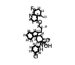 C[C@@H](COc1ccnc2c1[C@H](C)CC[C@@H]2F)CC1Cc2ccccc2C12CCC(Nc1cccc(Cl)c1)(C(=O)O)CC2